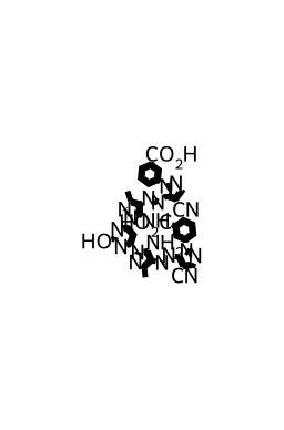 [C-]#[N+]c1cnn(-c2cccc(C(=O)O)c2)c1N=Nc1c(C)nn(-c2cc(-n3nc(C)c(N=Nc4c(C#N)cnn4-c4cccc(C(=O)O)c4)c3N)nc(O)n2)c1N